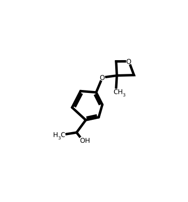 CC(O)c1ccc(OC2(C)COC2)cc1